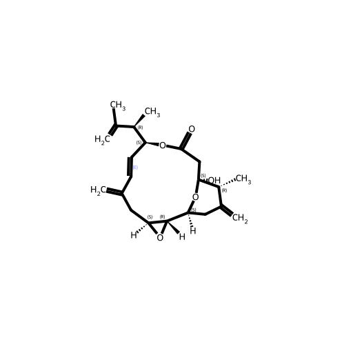 C=C1/C=C/[C@@H]([C@H](C)C(=C)C)OC(=O)C[C@]2(O)O[C@@H](CC(=C)[C@H]2C)[C@@H]2O[C@H]2C1